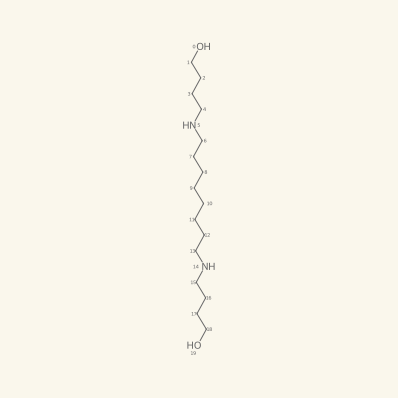 OCCCCNCCCCCCCCNCCCCO